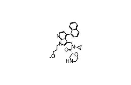 COCCCn1cc(CN(C(=O)[C@H]2CNCCO2)C2CC2)c2c(-c3cccc4ccccc34)ccnc21